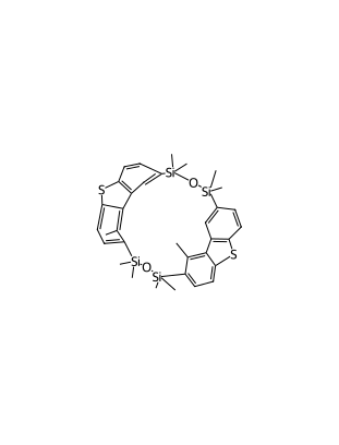 Cc1c2ccc3sc4ccc(cc4c13)[Si](C)(C)O[Si](C)(C)c1ccc3sc4ccc(c(C)c4c3c1)[Si](C)(C)O[Si]2(C)C